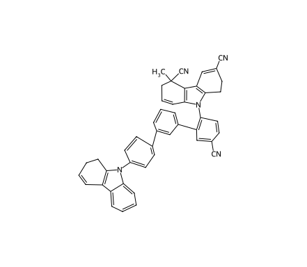 CC1(C#N)CC=Cc2c1c1c(n2-c2ccc(C#N)cc2-c2cccc(-c3ccc(-n4c5c(c6ccccc64)C=CCC5)cc3)c2)CCC(C#N)=C1